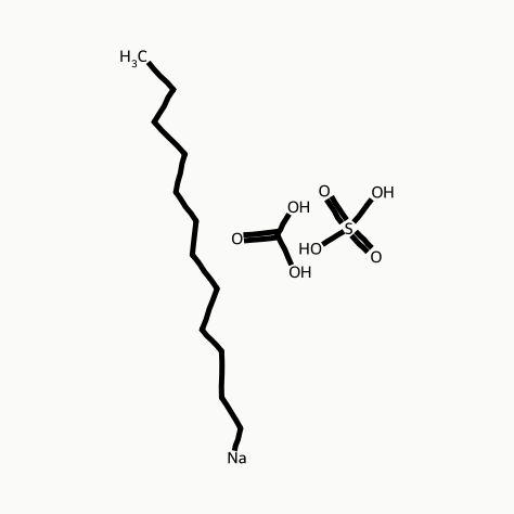 CCCCCCCCCCC[CH2][Na].O=C(O)O.O=S(=O)(O)O